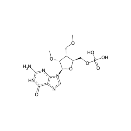 COC[C@H]1[C@@H](OC)[C@H](n2cnc3c(=O)[nH]c(N)nc32)O[C@@H]1COP(=O)(O)O